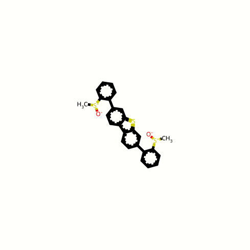 C[S+]([O-])c1ccccc1-c1ccc2c(c1)sc1cc(-c3ccccc3[S+](C)[O-])ccc12